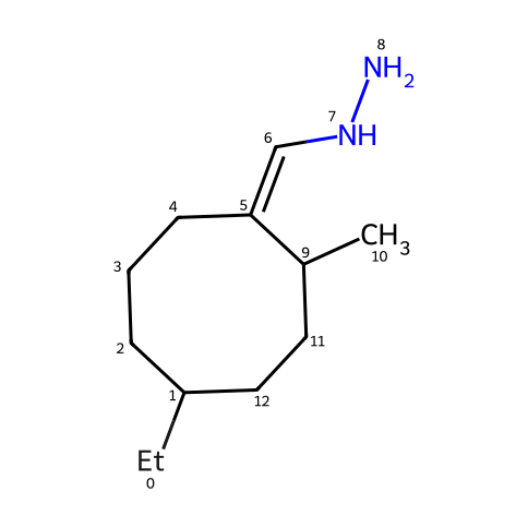 CCC1CCC/C(=C/NN)C(C)CC1